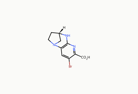 O=C(O)c1nc2c(cc1Br)N1CC[C@@H](C1)N2